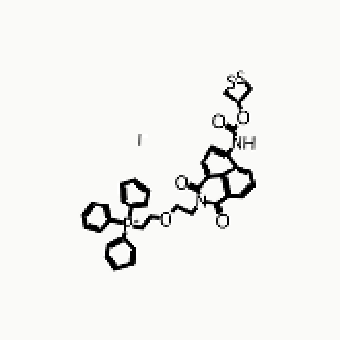 O=C(Nc1ccc2c3c(cccc13)C(=O)N(CCOCC[P+](c1ccccc1)(c1ccccc1)c1ccccc1)C2=O)OC1CSSC1.[I-]